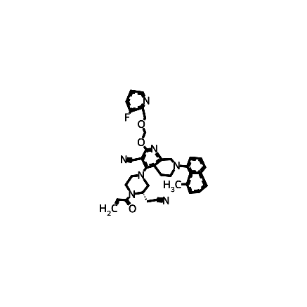 C=CC(=O)N1CCN(c2c(C#N)c(OCOCc3ncccc3F)nc3c2CCN(c2cccc4cccc(C)c24)C3)C[C@@H]1CC#N